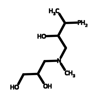 CC(P)C(O)CN(C)CC(O)CO